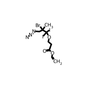 C=COC(=O)CCOC(I)(I)C(C)(Br)CN=[N+]=[N-]